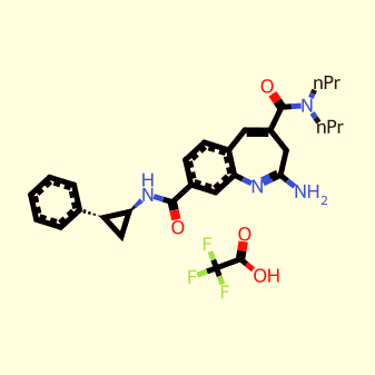 CCCN(CCC)C(=O)C1=Cc2ccc(C(=O)N[C@H]3C[C@@H]3c3ccccc3)cc2N=C(N)C1.O=C(O)C(F)(F)F